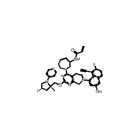 C#Cc1c(F)ccc2cc(O)cc(N3CCc4c(nc(OC[C@]5(C)C[C@@H](F)CN5c5ccncc5)nc4N4CCCCC(NC(=O)C=C)C4)C3)c12